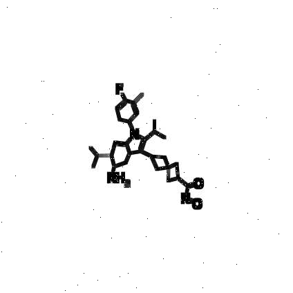 CC1=CC(N2C3=CC(C(C)C)C(N)CC3C(C3CC4(CC(C(=O)N=O)C4)C3)=C2C(C)C)CC=C1F